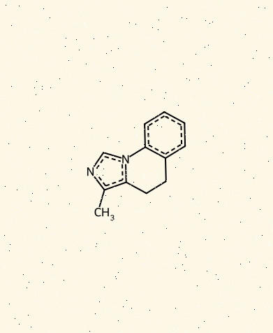 Cc1ncn2c1CCc1ccccc1-2